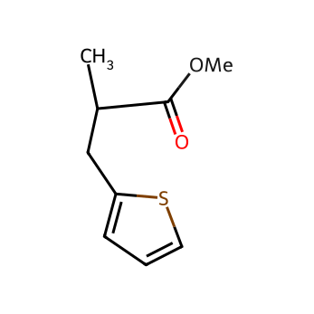 COC(=O)C(C)Cc1cccs1